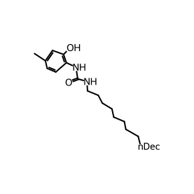 CCCCCCCCCCCCCCCCCCNC(=O)Nc1ccc(C)cc1O